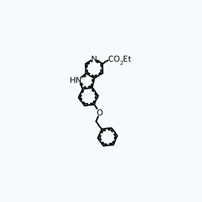 CCOC(=O)c1cc2c(cn1)[nH]c1ccc(OCc3ccccc3)cc12